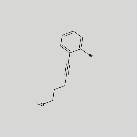 OCCCC#Cc1ccccc1Br